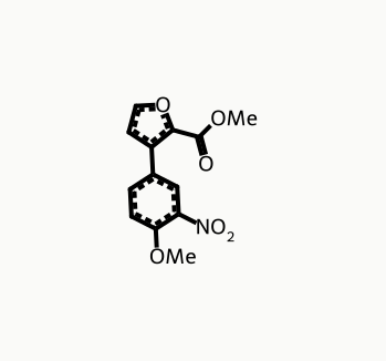 COC(=O)c1occc1-c1ccc(OC)c([N+](=O)[O-])c1